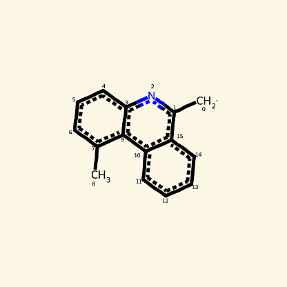 [CH2]c1nc2cccc(C)c2c2ccccc12